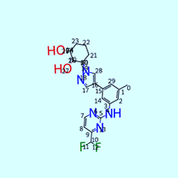 Cc1cc(Nc2nccc(C(F)F)n2)cc(-c2cnn([C@@H]3CCC[C@@H](O)[C@H]3O)c2)c1